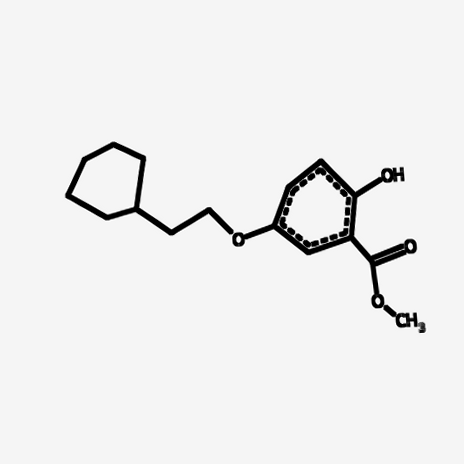 COC(=O)c1cc(OCCC2CCCCC2)ccc1O